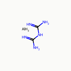 N=C(N)NC(=N)N.[AlH3]